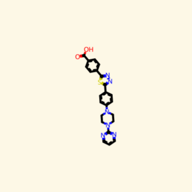 O=C(O)c1ccc(-c2nnc(-c3ccc(N4CCN(c5ncccn5)CC4)cc3)s2)cc1